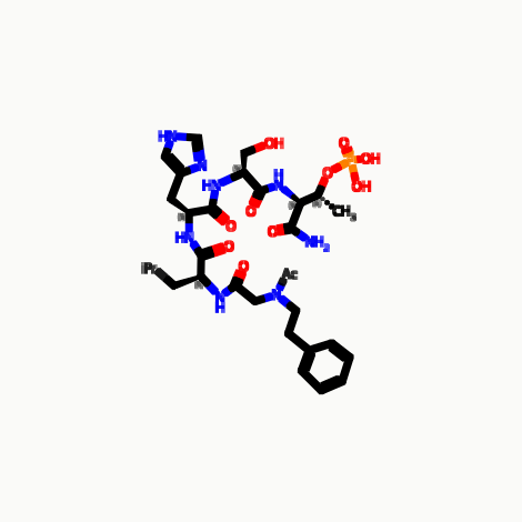 CC(=O)N(CCc1ccccc1)CC(=O)N[C@@H](CC(C)C)C(=O)N[C@@H](Cc1c[nH]cn1)C(=O)N[C@@H](CO)C(=O)N[C@H](C(N)=O)[C@@H](C)OP(=O)(O)O